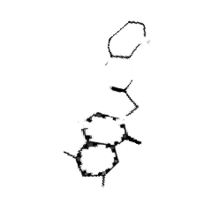 CCc1cc(C)c2ncn(CC(=O)C[C@H]3NCCC[C@@H]3O)c(=O)c2c1